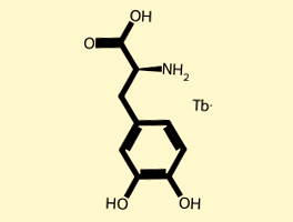 N[C@@H](Cc1ccc(O)c(O)c1)C(=O)O.[Tb]